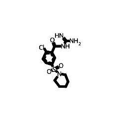 N=C(N)NC(=O)c1cc(S(=O)(=O)N2CCCCC2)ccc1Cl